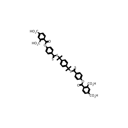 CC(C)(SC(=S)c1ccc(OC(=O)c2ccc(C(=O)O)cc2C(=O)O)cc1)c1ccc(C(C)(C)SC(=S)c2ccc(OC(=O)c3ccc(C(=O)O)cc3C(=O)O)cc2)cc1